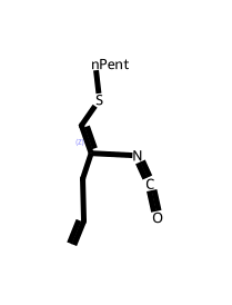 C=CC/C(=C/SCCCCC)N=C=O